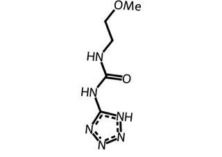 COCCNC(=O)Nc1nnn[nH]1